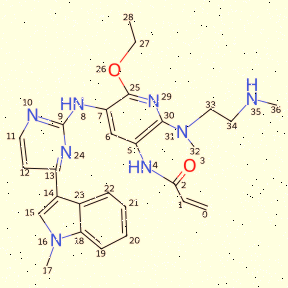 C=CC(=O)Nc1cc(Nc2nccc(-c3cn(C)c4ccccc34)n2)c(OCC)nc1N(C)CCNC